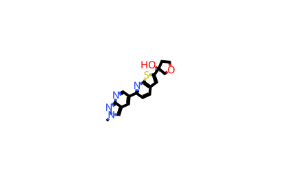 Cn1cc2cc(-c3ccc4cc([C@]5(O)CCOC5)sc4n3)cnc2n1